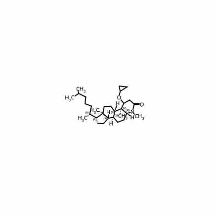 CC(C)CCC[C@@H](C)[C@H]1CC[C@H]2[C@@H]3CC[C@H]4N(C)C(=O)CC(OC5CC5)[C@]4(C)[C@H]3CC[C@]12C